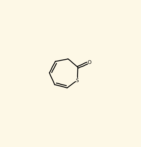 O=C1CC=CC=CS1